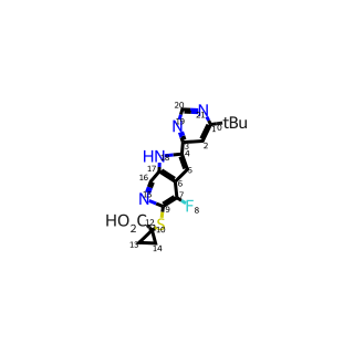 CC(C)(C)c1cc(-c2cc3c(F)c(SC4(C(=O)O)CC4)ncc3[nH]2)ncn1